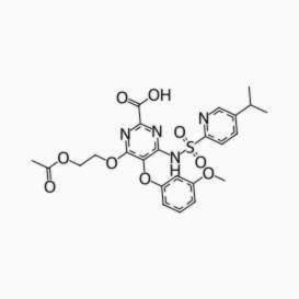 COc1cccc(Oc2c(NS(=O)(=O)c3ccc(C(C)C)cn3)nc(C(=O)O)nc2OCCOC(C)=O)c1